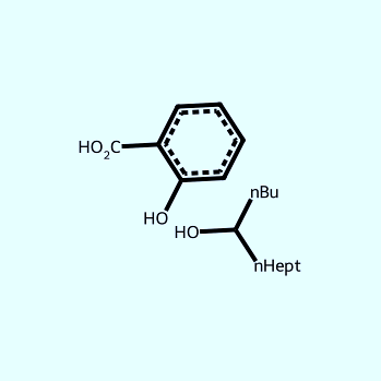 CCCCCCCC(O)CCCC.O=C(O)c1ccccc1O